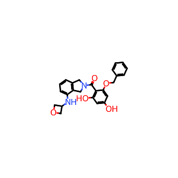 O=C(c1c(O)cc(O)cc1OCc1ccccc1)N1Cc2cccc(NC3COC3)c2C1